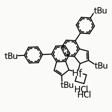 CC(C)(C)C1=Cc2c(-c3ccc(C(C)(C)C)cc3)cccc2[CH]1[Hf]1([CH]2C(C(C)(C)C)=Cc3c(-c4ccc(C(C)(C)C)cc4)cccc32)[CH2]C[CH2]1.Cl.Cl